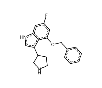 Fc1cc(OCc2ccccc2)c2c(C3CCNC3)c[nH]c2c1